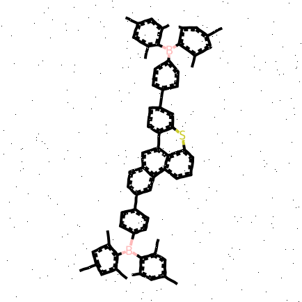 Cc1cc(C)c(B(c2ccc(-c3ccc4c(c3)Sc3cccc5c3c-4cc3ccc(-c4ccc(B(c6c(C)cc(C)cc6C)c6c(C)cc(C)cc6C)cc4)cc35)cc2)c2c(C)cc(C)cc2C)c(C)c1